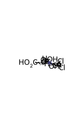 O=C(O)CCC[C@H]1CC[C@@H]2[C@@H](/C=C/[C@@H](O)COc3cc(Cl)cc(Cl)c3)[C@H](O)C[C@@H]2OC1